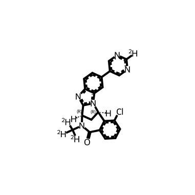 [2H]c1ncc(-c2ccc3nc4n(c3c2)[C@@H]2C[C@H]4N(C([2H])([2H])[2H])C(=O)c3cccc(Cl)c32)cn1